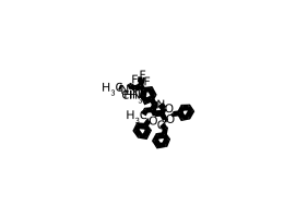 CCc1c(-c2ccc3c(C(F)(F)F)c(CN(C)C)[nH]c3c2)nc(OCc2ccccc2)c(C(=O)OCc2ccccc2)c1OCc1ccccc1